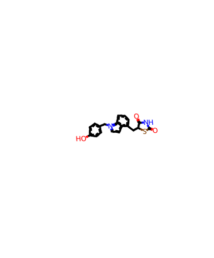 O=C1NC(=O)C(Cc2cccc3c2ccn3Cc2ccc(O)cc2)S1